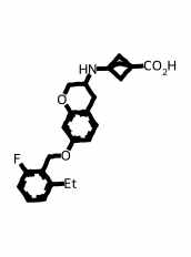 CCc1cccc(F)c1COc1ccc2c(c1)OCC(NC13CC(C(=O)O)(C1)C3)C2